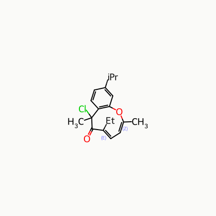 CC/C1=C\C=C(\C)Oc2cc(C(C)C)ccc2C(C)(Cl)C1=O